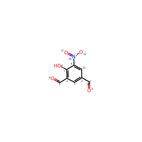 O=Cc1cc(C=O)c(O)c([N+](=O)[O-])c1